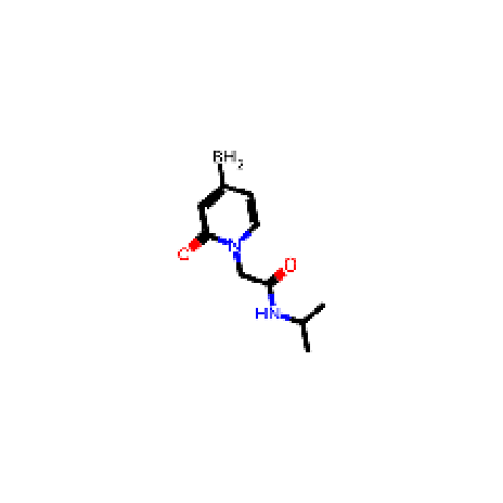 Bc1ccn(CC(=O)NC(C)C)c(=O)c1